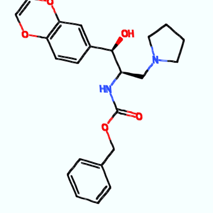 O=C(N[C@H](CN1CCCC1)[C@H](O)c1ccc2c(c1)OC=CO2)OCc1ccccc1